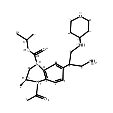 CC(=O)N1c2ccc(C(CN)CNC3CCOCC3)cc2N(C(=O)OC(C)C)C[C@@H]1C